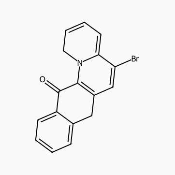 O=C1C2=C(C=C(Br)C3=CC=CCN32)Cc2ccccc21